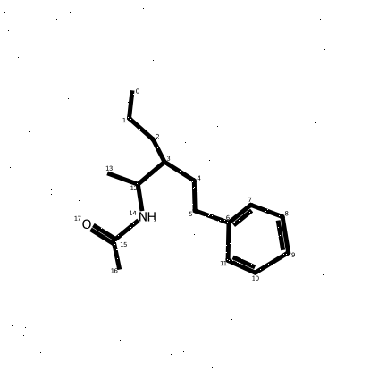 CCCC(CCc1ccccc1)C(C)NC(C)=O